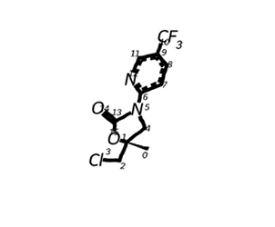 C[C@]1(CCl)CN(c2ccc(C(F)(F)F)cn2)C(=O)O1